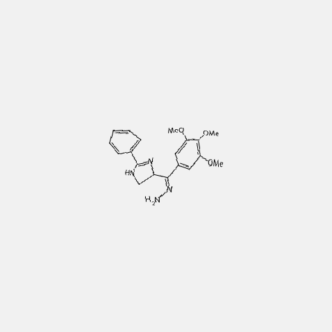 COc1cc(/C(=N/N)C2CNC(c3ccccc3)=N2)cc(OC)c1OC